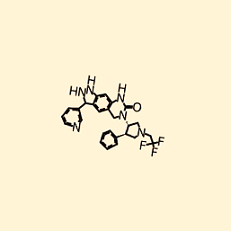 O=C1Nc2cc3c(cc2CN1[C@@H]1CN(CC(F)(F)F)C[C@H]1c1ccccc1)C(c1cccnc1)NN3